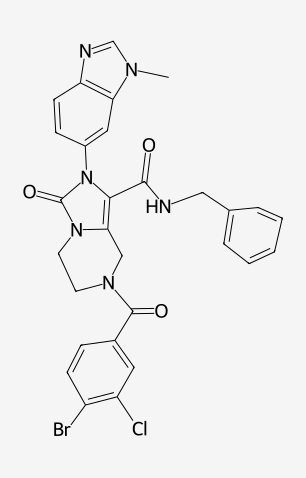 Cn1cnc2ccc(-n3c(C(=O)NCc4ccccc4)c4n(c3=O)CCN(C(=O)c3ccc(Br)c(Cl)c3)C4)cc21